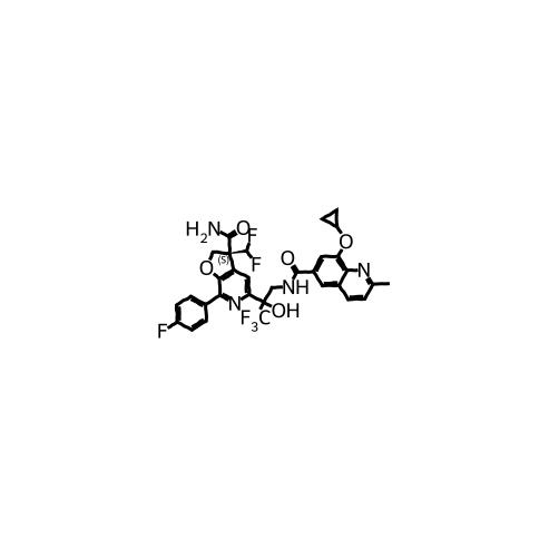 Cc1ccc2cc(C(=O)NCC(O)(c3cc4c(c(-c5ccc(F)cc5)n3)OC[C@@]4(C(N)=O)C(F)F)C(F)(F)F)cc(OC3CC3)c2n1